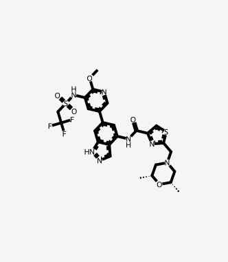 COc1ncc(-c2cc(NC(=O)c3csc(CN4C[C@@H](C)O[C@@H](C)C4)n3)c3cn[nH]c3c2)cc1NS(=O)(=O)CC(F)(F)F